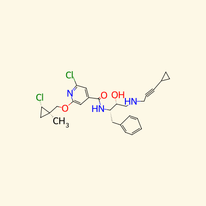 C[C@]1(COc2cc(C(=O)N[C@@H](Cc3ccccc3)[C@H](O)CNCC#CC3CC3)cc(Cl)n2)C[C@@H]1Cl